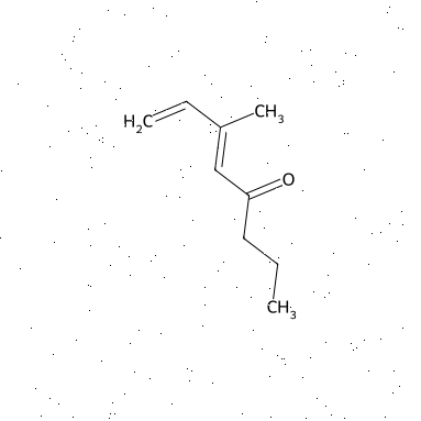 C=CC(C)=CC(=O)CCC